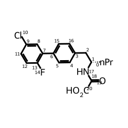 CCC[C@@H](Cc1ccc(-c2cc(Cl)ccc2F)cc1)NC(=O)C(=O)O